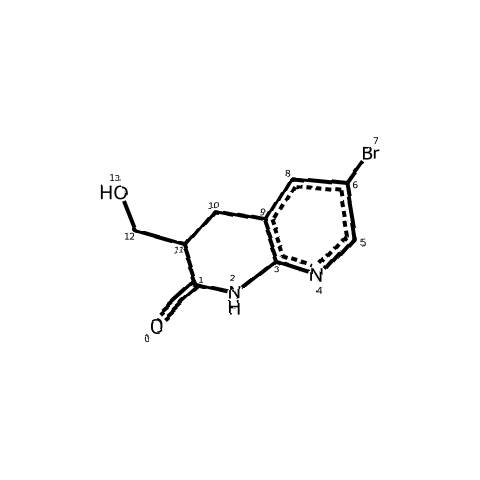 O=C1Nc2ncc(Br)cc2CC1CO